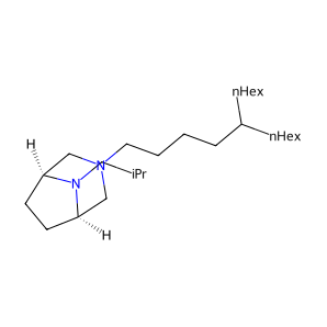 CCCCCCC(CCCCCC)CCCCN1C[C@H]2CC[C@@H](C1)N2CC(C)C